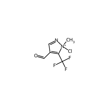 C[N+]1(Cl)N=CC(C=O)=C1C(F)(F)F